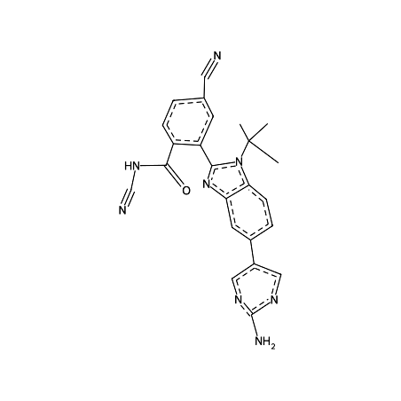 CC(C)(C)n1c(-c2cc(C#N)ccc2C(=O)NC#N)nc2cc(-c3cnc(N)nc3)ccc21